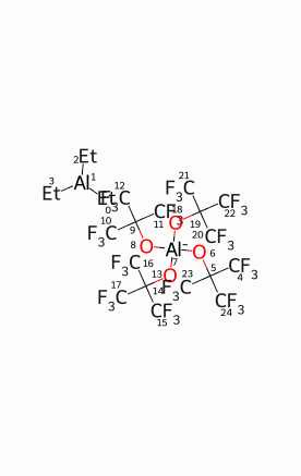 C[CH2][Al]([CH2]C)[CH2]C.FC(F)(F)C([O][Al-]([O]C(C(F)(F)F)(C(F)(F)F)C(F)(F)F)([O]C(C(F)(F)F)(C(F)(F)F)C(F)(F)F)[O]C(C(F)(F)F)(C(F)(F)F)C(F)(F)F)(C(F)(F)F)C(F)(F)F